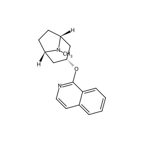 CN1[C@@H]2CC[C@H]1C[C@@H](Oc1nccc3ccccc13)C2